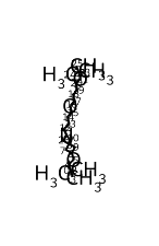 CC(C)(C)COC1CC2(C1)CN(CCCCOCCCCOC(C)(C)C)C2